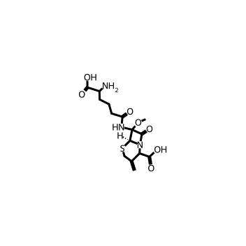 C=C1CS[C@@H]2N(C(=O)C2(NC(=O)CCCC(N)C(=O)O)OC)C1C(=O)O